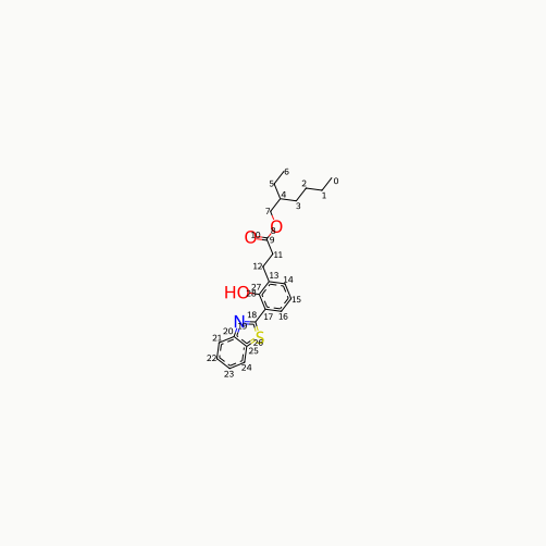 CCCCC(CC)COC(=O)CCc1cccc(-c2nc3ccccc3s2)c1O